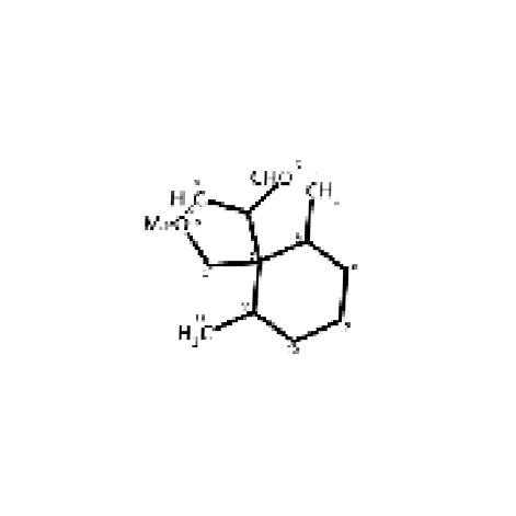 COCC1(C(C)C=O)C(C)CCCC1C